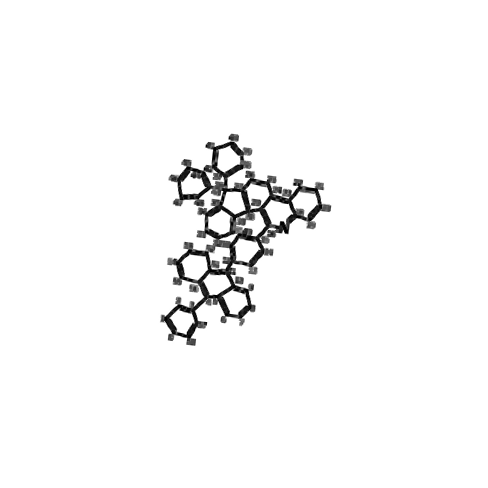 c1ccc(-c2c3ccccc3c(-c3ccc(-c4nc5ccccc5c5ccc6c(c45)-c4ccccc4C6(c4ccccc4)c4ccccc4)cc3)c3ccccc23)cc1